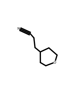 N#CCCC1CCOCC1